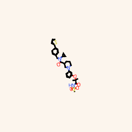 CC(C)(Oc1cccc(N2CCCC(C(=O)N(Cc3ccc(-c4cccs4)cc3)C3CC3)C2)c1)C(=O)NS(C)(=O)=O